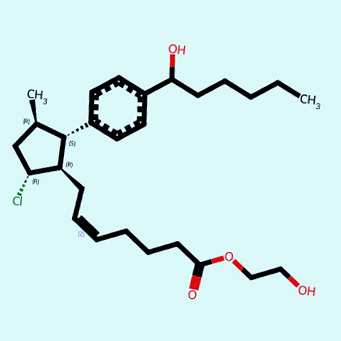 CCCCCC(O)c1ccc([C@@H]2[C@@H](C/C=C\CCCC(=O)OCCO)[C@H](Cl)C[C@H]2C)cc1